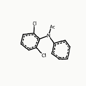 CC(=O)N(c1ccccc1)c1c(Cl)cccc1Cl